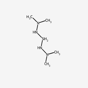 CN(C)N[SiH2]NN(C)C